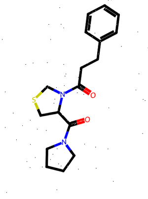 O=C(C1CSCN1C(=O)CCc1ccccc1)N1CCCC1